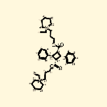 CC[N+]1(CCCOC(=O)[C@H]2[C@H](c3ccccc3)[C@H](C(=O)OCCC[N+]3(CC)CCCCC3)[C@H]2c2ccccc2)CCCCC1